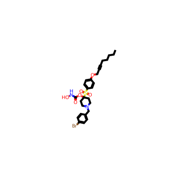 CCCCCC#CCOc1ccc(S(=O)(=O)C2(OC(=O)NO)CCN(Cc3ccc(Br)cc3)CC2)cc1